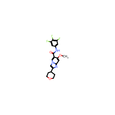 COc1cc2nc(C3CCOCC3)cn2cc1C(=O)Nc1cc(F)c(F)c(F)c1